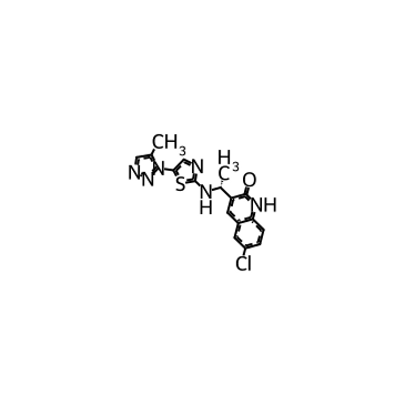 Cc1cnnn1-c1cnc(N[C@H](C)c2cc3cc(Cl)ccc3[nH]c2=O)s1